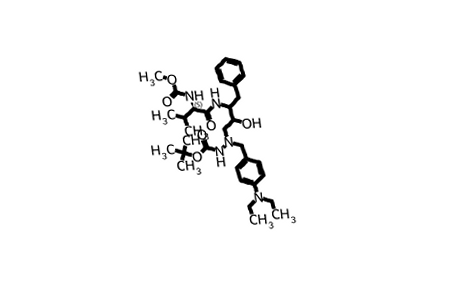 CCN(CC)c1ccc(CN(CC(O)C(Cc2ccccc2)NC(=O)[C@@H](NC(=O)OC)C(C)C)NC(=O)OC(C)(C)C)cc1